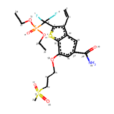 C=Cc1c(C(F)(F)P(=O)(OCC)OCC)sc2c(OCCCS(C)(=O)=O)cc(C(N)=O)cc12